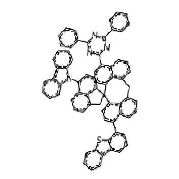 c1ccc(-c2nc(-c3ccccc3)nc(-c3ccc4c5c(cccc35)Cc3cccc5c(-c6cccc7c6sc6ccccc67)ccc(c35)C43Cc4cccc5c(-n6c7ccccc7c7ccccc76)ccc3c45)n2)cc1